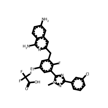 CCc1cc(Cc2cc3cc(N)ccc3c(N)n2)c(F)c(-c2nc(-c3cccc(Cl)c3)nn2C)c1.O=C(O)C(F)(F)F